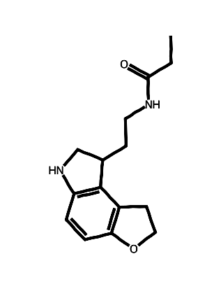 CCC(=O)NCCC1CNc2ccc3c(c21)CCO3